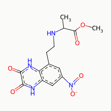 COC(=O)C(C)NCCc1cc([N+](=O)[O-])cc2[nH]c(=O)c(=O)[nH]c12